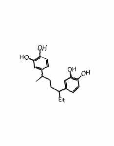 CCC(CCC(C)c1ccc(O)c(O)c1)c1ccc(O)c(O)c1